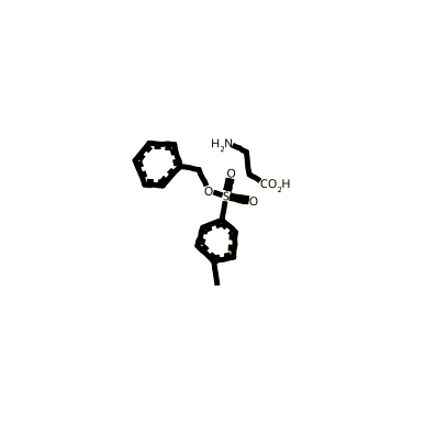 Cc1ccc(S(=O)(=O)OCc2ccccc2)cc1.NCCC(=O)O